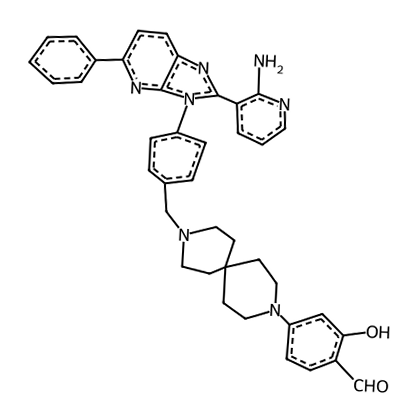 Nc1ncccc1-c1nc2ccc(-c3ccccc3)nc2n1-c1ccc(CN2CCC3(CC2)CCN(c2ccc(C=O)c(O)c2)CC3)cc1